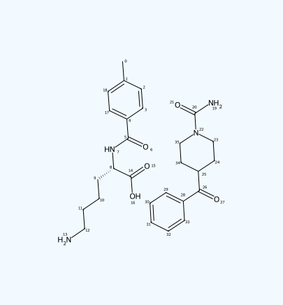 Cc1ccc(C(=O)N[C@@H](CCCCN)C(=O)O)cc1.NC(=O)N1CCC(C(=O)c2ccccc2)CC1